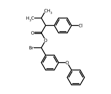 CC(C)C(C(=O)OC(Br)c1cccc(Oc2ccccc2)c1)c1ccc(Cl)cc1